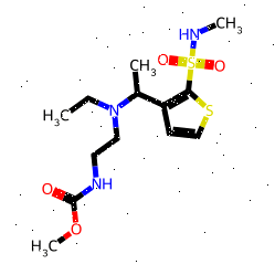 CCN(CCNC(=O)OC)C(C)c1ccsc1S(=O)(=O)NC